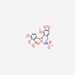 COC(=O)c1c(C2OC2c2c(CCNS(C)(=O)=O)cc3c(c2OC)OCO3)ccc(OC)c1OC